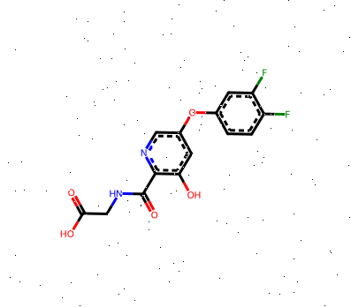 O=C(O)CNC(=O)c1ncc(Oc2ccc(F)c(F)c2)cc1O